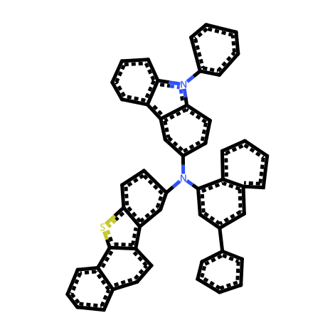 c1ccc(-c2cc(N(c3ccc4sc5c6ccccc6ccc5c4c3)c3ccc4c(c3)c3ccccc3n4-c3ccccc3)c3ccccc3c2)cc1